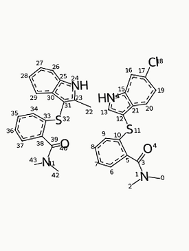 CN(C)C(=O)c1ccccc1Sc1c[nH]c2cc(Cl)ccc12.Cc1[nH]c2ccccc2c1Sc1ccccc1C(=O)N(C)C